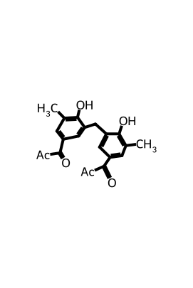 CC(=O)C(=O)c1cc(C)c(O)c(Cc2cc(C(=O)C(C)=O)cc(C)c2O)c1